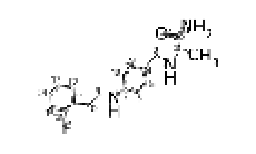 CC(NCc1ccc(NCCc2ccccc2F)cc1)C(N)=O